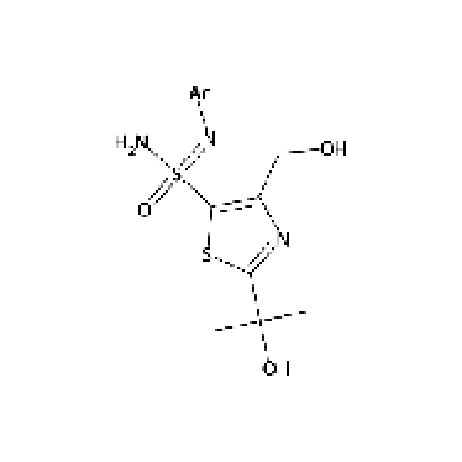 CC(=O)N=S(N)(=O)c1sc(C(C)(C)O)nc1CO